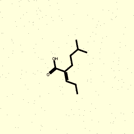 CC/C=C(\CCC(C)C)C(=O)O